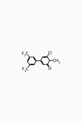 CC1C(=O)C=C(c2cc(C(F)(F)F)cc(C(F)(F)F)c2)C=C1Cl